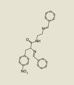 O=C(NCC/N=C/c1ccccc1)C(Cc1ccc([N+](=O)[O-])cc1)/N=C/c1ccccc1